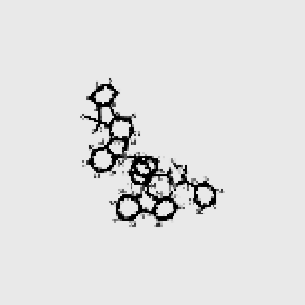 CC1(C)c2ccccc2-c2ccc3c(c21)c1ccccc1n3-c1cccc(-n2c3ccccc3c3cccc(-n4c(-c5ccccc5)nnc4-c4ccccc4)c32)c1